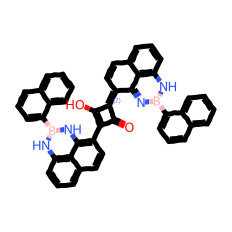 O=C1C(c2ccc3cccc4c3c2NB(c2cccc3ccccc23)N4)=C(O)/C1=c1\ccc2cccc3c2c1=NB(c1cccc2ccccc12)N3